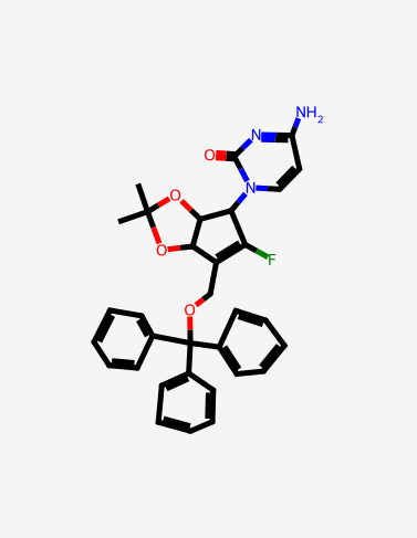 CC1(C)OC2C(COC(c3ccccc3)(c3ccccc3)c3ccccc3)=C(F)C(n3ccc(N)nc3=O)C2O1